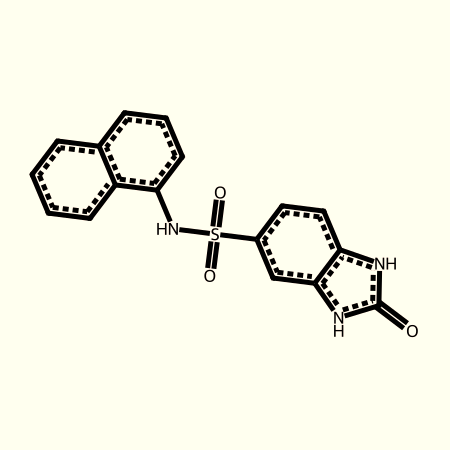 O=c1[nH]c2ccc(S(=O)(=O)Nc3cccc4ccccc34)cc2[nH]1